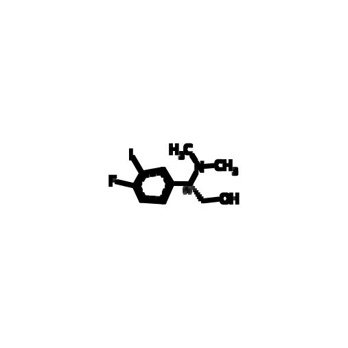 CN(C)[C@H](CO)c1ccc(F)c(I)c1